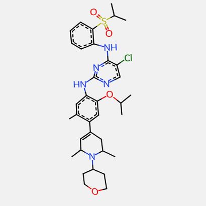 Cc1cc(Nc2ncc(Cl)c(Nc3ccccc3S(=O)(=O)C(C)C)n2)c(OC(C)C)cc1C1=CC(C)N(C2CCOCC2)C(C)C1